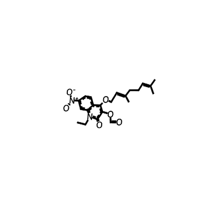 CCn1c(=O)c(OC=O)c(OC/C=C(\C)CCC=C(C)C)c2ccc([N+](=O)[O-])cc21